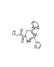 O=C(CCl)Nc1cc(-n2cccn2)nc(-c2ccco2)n1